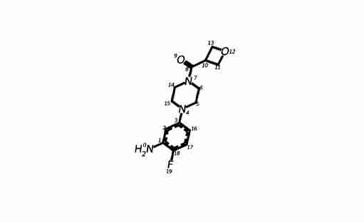 Nc1cc(N2CCN(C(=O)C3COC3)CC2)ccc1F